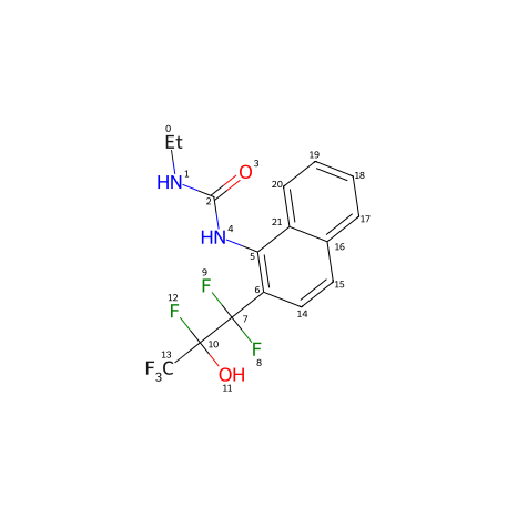 CCNC(=O)Nc1c(C(F)(F)C(O)(F)C(F)(F)F)ccc2ccccc12